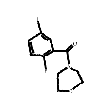 O=C(c1cc(I)ccc1F)N1CCOCC1